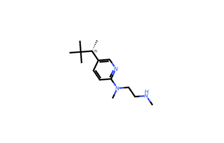 CNCCN(C)c1ccc([C@@H](C)C(C)(C)C)cn1